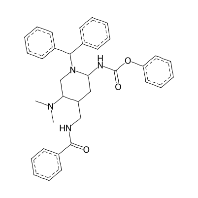 CN(C)C1CN(C(c2ccccc2)c2ccccc2)C(NC(=O)Oc2ccccc2)CC1CNC(=O)c1ccccc1